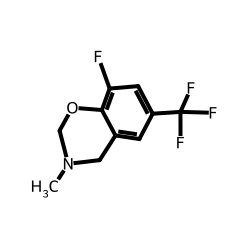 CN1COc2c(F)cc(C(F)(F)F)cc2C1